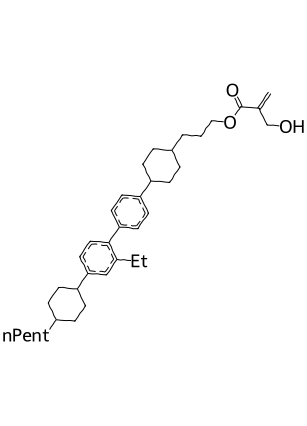 C=C(CO)C(=O)OCCCC1CCC(c2ccc(-c3ccc(C4CCC(CCCCC)CC4)cc3CC)cc2)CC1